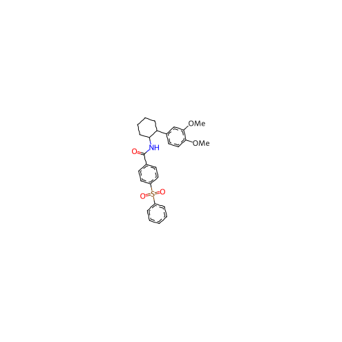 COc1ccc(C2CCCCC2NC(=O)c2ccc(S(=O)(=O)c3ccccc3)cc2)cc1OC